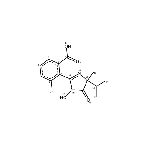 Cc1cccc(C(=O)O)c1C1=NC(C)(C(C)C)C(=O)N1O